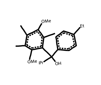 CCc1ccc(C(O)(c2c(C)c(OC)c(C)c(C)c2OC)C(C)C)cc1